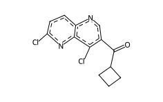 O=C(c1cnc2ccc(Cl)nc2c1Cl)C1CCC1